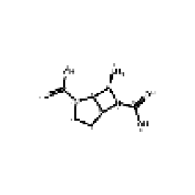 C[C@@H]1C2C(CCN2C(=O)O)N1C(=O)O